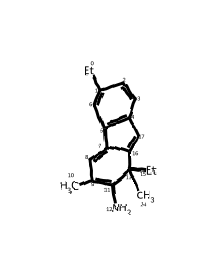 CCc1ccc2c(c1)C1=CC(C)=C(N)C(C)(CC)C1=C2